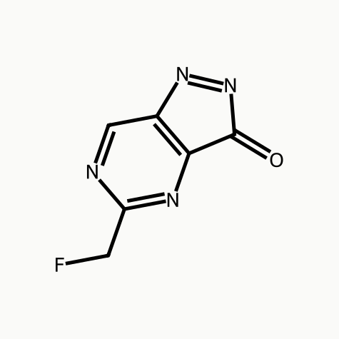 O=C1N=Nc2cnc(CF)nc21